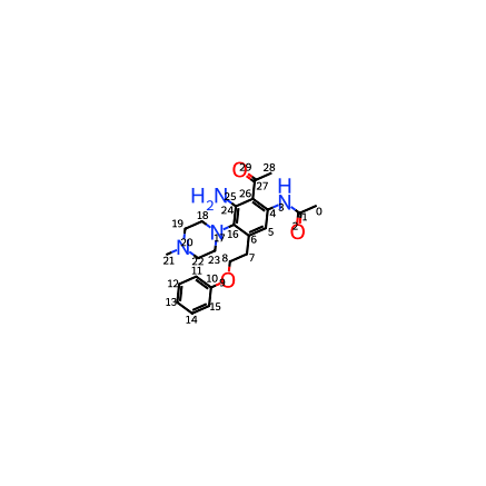 CC(=O)Nc1cc(CCOc2ccccc2)c(N2CCN(C)CC2)c(N)c1C(C)=O